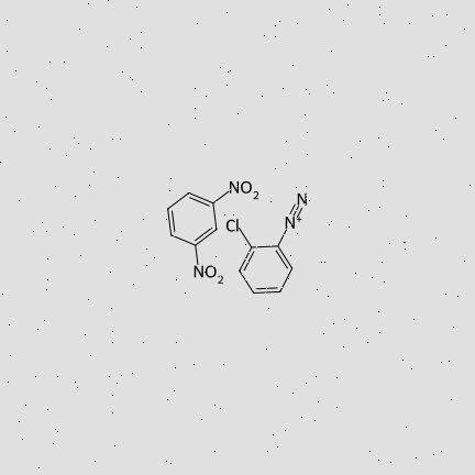 N#[N+]c1ccccc1Cl.O=[N+]([O-])c1cccc([N+](=O)[O-])c1